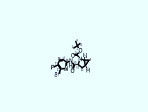 CC(C)(C)OC(=O)N1[C@@H]2C[C@@H]2C[C@H]1C(=O)Nc1ccc(F)c(Br)n1